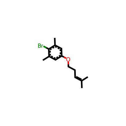 CC(C)=CCCOc1cc(C)c(Br)c(C)c1